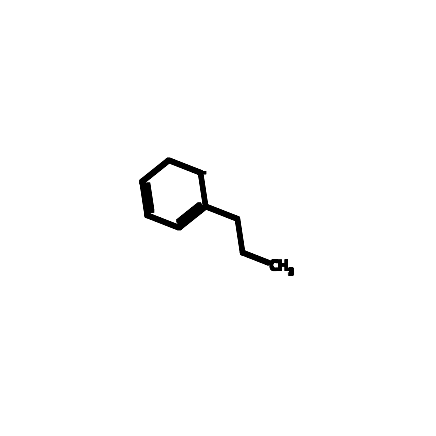 CCCC1=CC=CC[CH]1